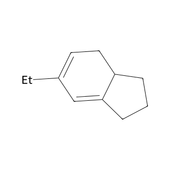 CCC1=CCC2CCCC2=C1